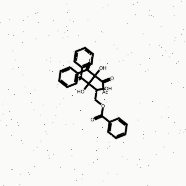 CC(=O)C(=O)C(O)(C(=O)c1ccccc1)C(O)(C(=O)c1ccccc1)C(O)COC(=O)c1ccccc1